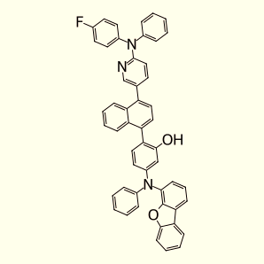 Oc1cc(N(c2ccccc2)c2cccc3c2oc2ccccc23)ccc1-c1ccc(-c2ccc(N(c3ccccc3)c3ccc(F)cc3)nc2)c2ccccc12